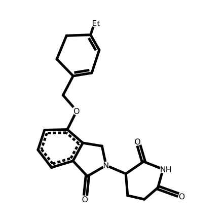 CCC1=CC=C(COc2cccc3c2CN(C2CCC(=O)NC2=O)C3=O)CC1